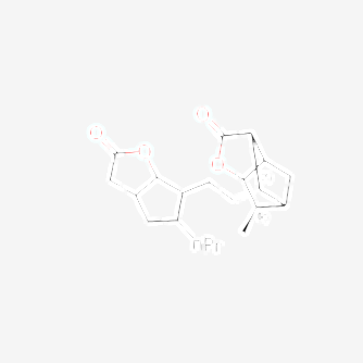 CCCC1CC2CC(=O)OC2C1CC[C@@H]1C2C(=O)OC3C2CC1[C@H]3C